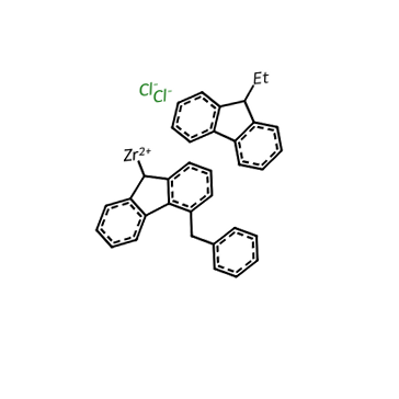 CCC1c2ccccc2-c2ccccc21.[Cl-].[Cl-].[Zr+2][CH]1c2ccccc2-c2c(Cc3ccccc3)cccc21